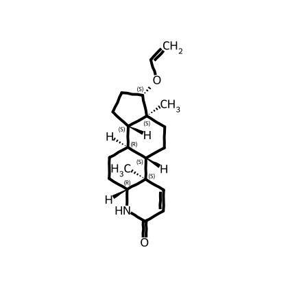 C=CO[C@H]1CC[C@H]2[C@@H]3CC[C@H]4NC(=O)C=C[C@]4(C)[C@H]3CC[C@]12C